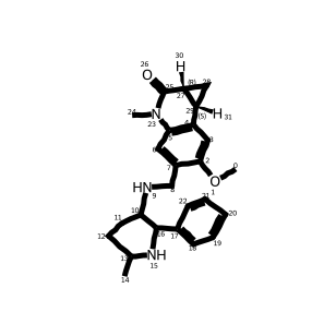 COc1cc2c(cc1CNC1CCC(C)NC1c1ccccc1)N(C)C(=O)[C@@H]1C[C@H]21